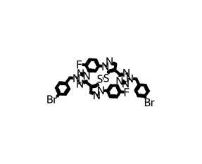 Fc1ccc(-n2ncc(-c3nnn(Cc4ccc(Br)cc4)n3)c2SSc2c(-c3nnn(Cc4ccc(Br)cc4)n3)cnn2-c2ccc(F)cc2)cc1